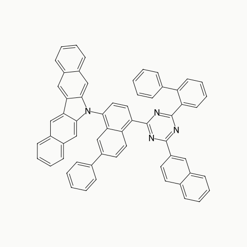 c1ccc(-c2ccc3c(-c4nc(-c5ccc6ccccc6c5)nc(-c5ccccc5-c5ccccc5)n4)ccc(-n4c5cc6ccccc6cc5c5cc6ccccc6cc54)c3c2)cc1